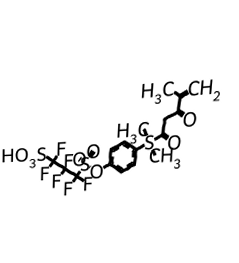 C=C(C)C(=O)CC(=O)S(C)(C)c1ccc(OS(=O)(=O)C(F)(F)C(F)(F)C(F)(F)S(=O)(=O)O)cc1